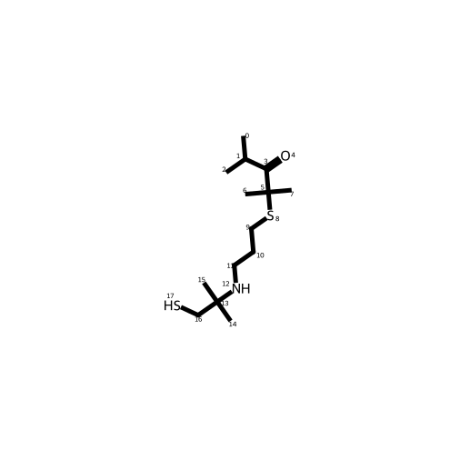 CC(C)C(=O)C(C)(C)SCCCNC(C)(C)CS